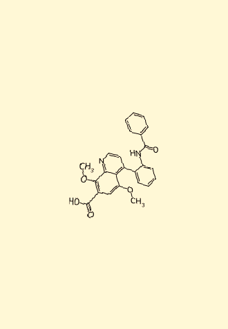 COc1c(C(=O)O)cc(OC)c2c(-c3ccccc3NC(=O)c3ccccc3)ccnc12